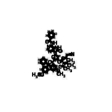 COc1ccc(C(OC[C@H]2O[C@@H](n3c(=O)[nH]c4c(NC(=O)c5ccccc5)ncnc43)C[C@@H]2OP(OCCC#N)N(C(C)C)C(C)C)(c2ccccc2)c2ccc(OC)cc2)cc1